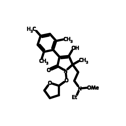 CCN(CCC1(C)C(O)=C(c2c(C)cc(C)cc2C)C(=O)N1OC1CCCO1)OC